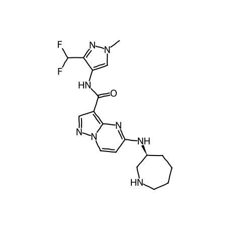 Cn1cc(NC(=O)c2cnn3ccc(N[C@H]4CCCCNC4)nc23)c(C(F)F)n1